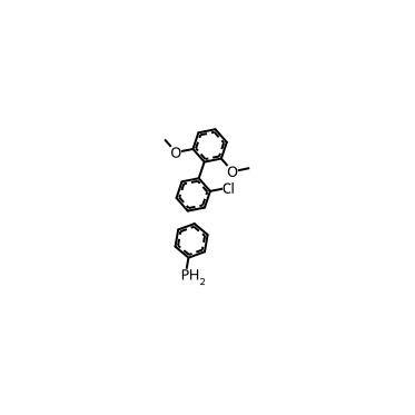 COc1cccc(OC)c1-c1ccccc1Cl.Pc1ccccc1